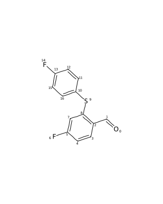 O=Cc1ccc(F)cc1Sc1ccc(F)cc1